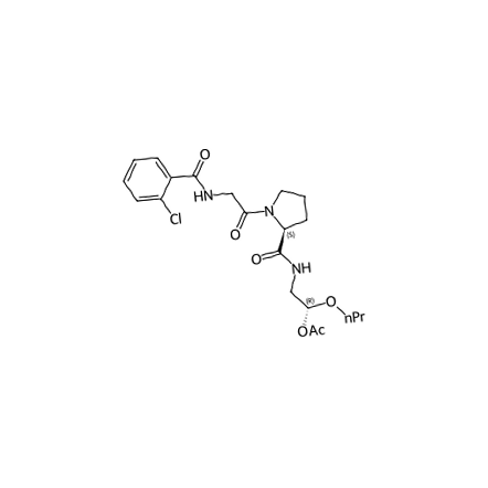 CCCO[C@@H](CNC(=O)[C@@H]1CCCN1C(=O)CNC(=O)c1ccccc1Cl)OC(C)=O